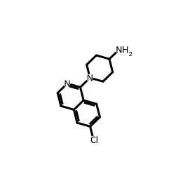 NC1CCN(c2nccc3cc(Cl)ccc23)CC1